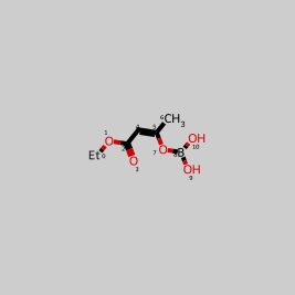 CCOC(=O)C=C(C)OB(O)O